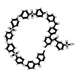 Cc1ccc(C(=O)c2ccc(Oc3ccc(S(=O)(=O)c4ccc(Oc5ccc(S(=O)(=O)c6ccc(Oc7ccc(S(=O)(=O)c8ccc(Oc9ccc(C(=O)c%10ccc(-c%11ccc(C)cc%11C(=O)c%11cccc(S(=O)(=O)O)c%11)cc%10)cc9)cc8)cc7)cc6)cc5)cc4)cc3)cc2)cc1